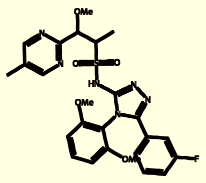 COc1cccc(OC)c1-n1c(NS(=O)(=O)C(C)C(OC)c2ncc(C)cn2)nnc1-c1cccc(F)c1